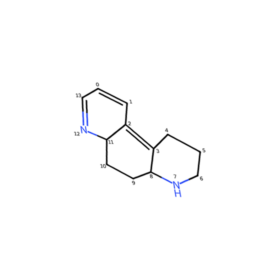 C1=CC2=C3CCCNC3CCC2N=C1